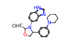 O=CC1OCC(c2cccc(N3CCCCC3)c2)N1c1ccc2[nH]cnc2c1